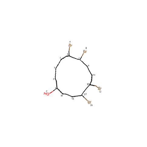 OC1CCCC(Br)C(Br)CCC(Br)C(Br)CC1